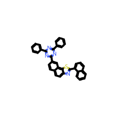 c1ccc(-c2nc(-c3ccccc3)nc(-c3ccc4ccc5nc(-c6cccc7ccccc67)sc5c4c3)n2)cc1